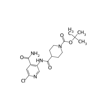 CC(C)(C)OC(=O)N1CCC(C(=O)Nc2cnc(Cl)cc2C(N)=O)CC1